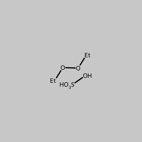 CCOOCC.O=S(=O)(O)O